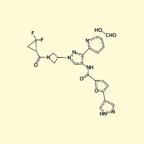 O=C(Nc1cn(C2CN(C(=O)C3CC3(F)F)C2)nc1-c1ccccn1)c1ccc(-c2cn[nH]c2)o1.O=CO